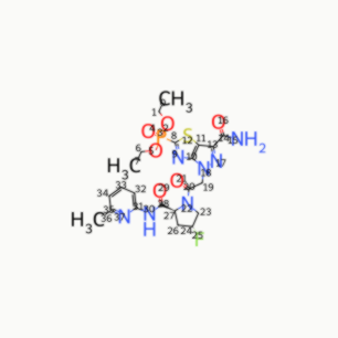 CCOP(=O)(OCC)c1nc2c(s1)c(C(N)=O)nn2CC(=O)N1C[C@H](F)C[C@H]1C(=O)Nc1cccc(C)n1